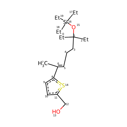 CCC(CC)(CC/C=C(\C)c1ccc(CO)s1)O[Si](CC)(CC)CC